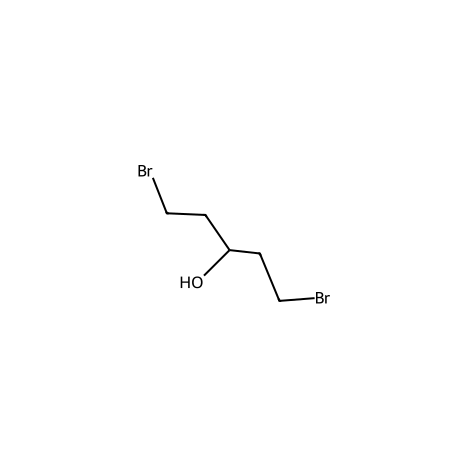 OC(CCBr)CCBr